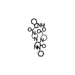 CCOC(=O)C1CCCN(c2c(N3CCN(C(=O)c4c[nH]c5ccccc45)CC3)cnn(-c3ccccc3)c2=O)C1